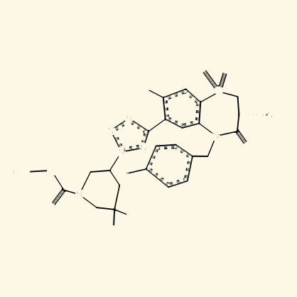 COC(=O)N1CC(n2nnc(-c3cc4c(cc3F)S(=O)(=O)C[C@H](N)C(=O)N4Cc3ccc(Cl)cc3)n2)CC(F)(F)C1